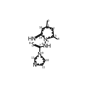 Cc1cc(C)n(NC(=S)n2ccnc2)c(=N)c1